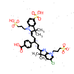 CC1(C)C(/C=C/C(=C/C=C2/N(CCCS(=O)(=O)O)c3ccc(S(=O)(=O)O)cc3C2(C)C)c2ccc(C(=O)O)cc2)=Nc2c1cc(Cl)c[n+]2CCCS(=O)(=O)[O-]